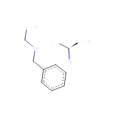 C[C@H](N)C(=O)O.Cl.O=C(O)CNCc1ccccc1